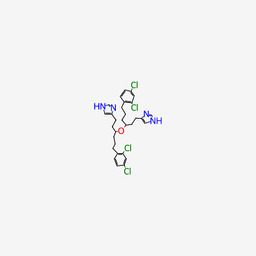 Clc1ccc(CCCC(CCc2c[nH]cn2)OC(CCCc2ccc(Cl)cc2Cl)CCc2c[nH]cn2)c(Cl)c1